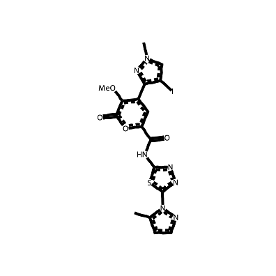 COc1c(-c2nn(C)cc2I)cc(C(=O)Nc2nnc(-n3nccc3C)s2)oc1=O